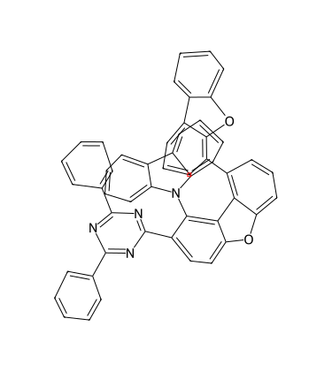 c1ccc(-c2nc(-c3ccccc3)nc(-c3ccc4oc5cccc(-c6cccc7c6oc6ccccc67)c5c4c3-n3c4ccccc4c4ccccc43)n2)cc1